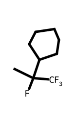 CC(F)(C1CCCCC1)C(F)(F)F